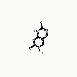 Cn1cc2cnc(=O)[nH]c2nc1=S